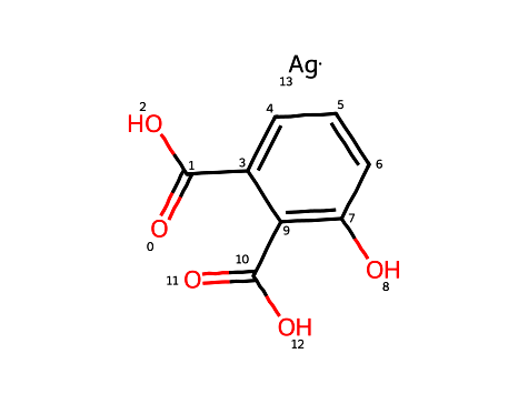 O=C(O)c1cccc(O)c1C(=O)O.[Ag]